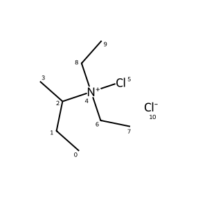 CCC(C)[N+](Cl)(CC)CC.[Cl-]